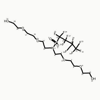 O=S(=O)(N(CCOCCOCCO)CCOCCOCCO)C(F)(F)C(F)(F)C(F)(F)C(F)(F)F